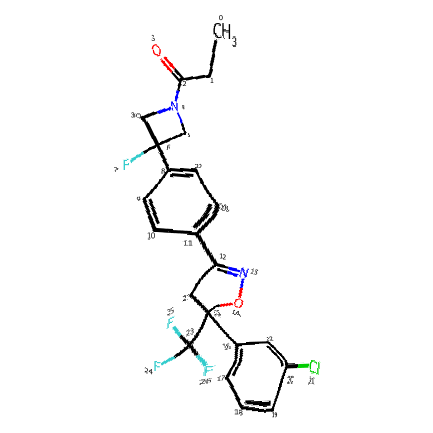 CCC(=O)N1CC(F)(c2ccc(C3=NOC(c4cccc(Cl)c4)(C(F)(F)F)C3)cc2)C1